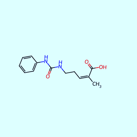 CC(=CCCNC(=O)Nc1ccccc1)C(=O)O